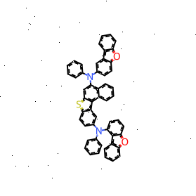 c1ccc(N(c2ccc3oc4ccccc4c3c2)c2cc3sc4ccc(N(c5ccccc5)c5cccc6oc7ccccc7c56)cc4c3c3ccccc23)cc1